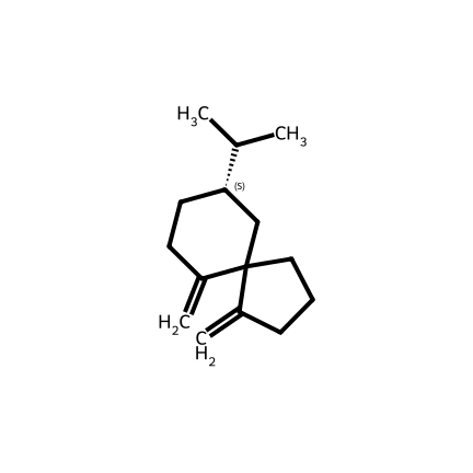 C=C1CCCC12C[C@@H](C(C)C)CCC2=C